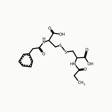 CCC(=O)NC(CSSCC(NC(=O)Cc1ccccc1)C(=O)O)C(=O)O